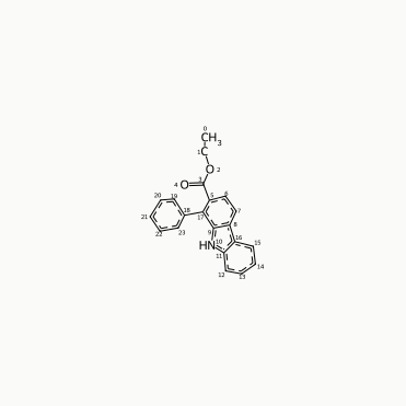 CCOC(=O)c1ccc2c([nH]c3ccccc32)c1-c1ccccc1